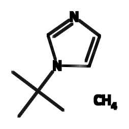 C.CC(C)(C)n1ccnc1